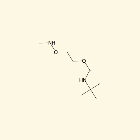 CNOCCOC(C)NC(C)(C)C